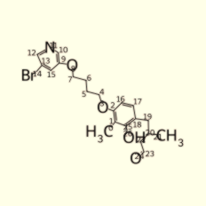 Cc1c(OCCCCOc2cncc(Br)c2)ccc(CC(C)CC=O)c1O